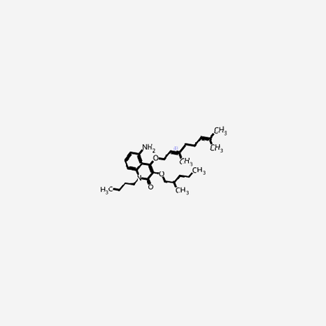 CCCCn1c(=O)c(OCC(C)CCC)c(OC/C=C(\C)CCC=C(C)C)c2c(N)cccc21